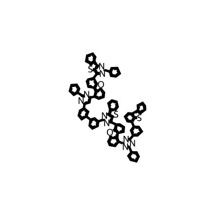 c1ccc(-c2nc(-c3cccc(-c4cccc(-c5nc(-c6cccc7c6oc6cccc(-c8nc(-c9ccccc9)nc(-c9cccc(-c%10cccc%11c%10sc%10ccccc%10%11)c9)n8)c67)c6sc7ccccc7c6n5)c4)c3)cc(-c3cccc4oc5c(-c6nc(-c7ccccc7)nc7c6sc6ccccc67)cccc5c34)n2)cc1